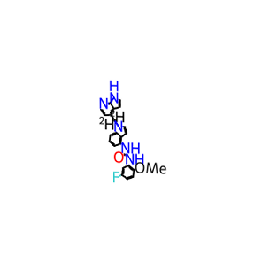 [2H]C([2H])(c1ccnc2[nH]ccc12)n1ccc2c(NC(=O)Nc3cc(F)ccc3OC)cccc21